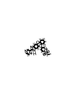 CCS(=O)(=O)c1ccc(Oc2cc3[nH]c(-c4cnccn4)nc3cc2Oc2ccccc2)cn1